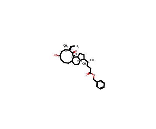 C/C=C1\C(=O)[C@H]2C(CCC[C@@H](O)C[C@@H]1C)CC[C@@]1(C)C2CCC1[C@H](C)CCC(=O)OCc1ccccc1